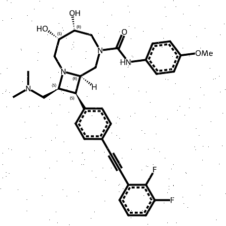 COc1ccc(NC(=O)N2C[C@@H](O)[C@@H](O)CN3[C@H](CN(C)C)[C@H](c4ccc(C#Cc5cccc(F)c5F)cc4)[C@@H]3C2)cc1